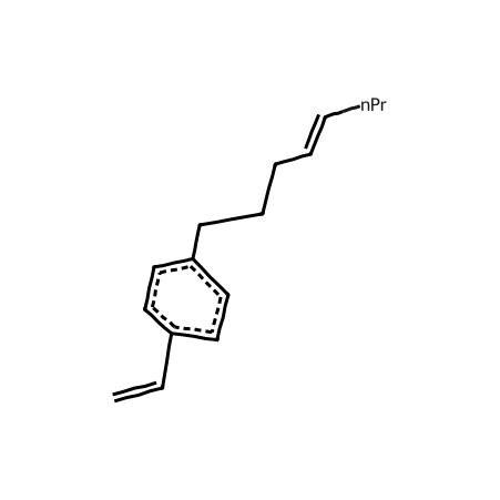 C=Cc1ccc(CCCC=CCCC)cc1